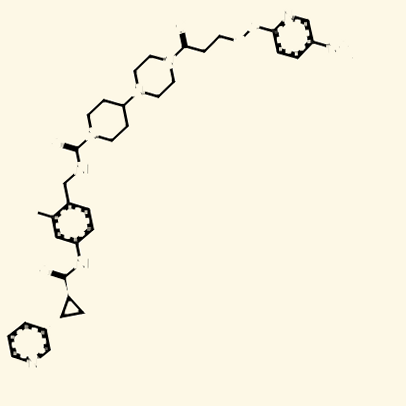 O=C(Nc1ccc(CNC(=O)N2CCC(N3CCN(C(=O)CCSSc4ccc([N+](=O)[O-])cn4)CC3)CC2)c(F)c1)[C@H]1C[C@@H]1c1cccnc1